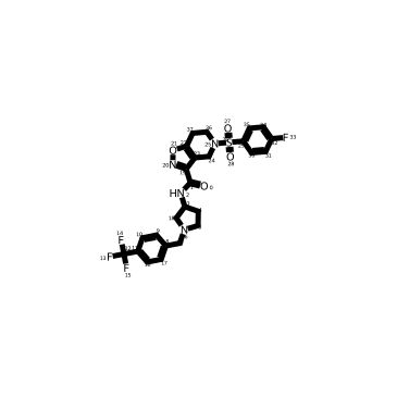 O=C(NC1CCN(Cc2ccc(C(F)(F)F)cc2)C1)c1noc2c1CN(S(=O)(=O)c1ccc(F)cc1)CC2